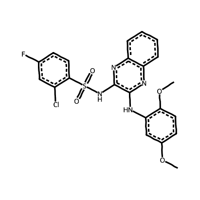 COc1ccc(OC)c(Nc2nc3ccccc3nc2NS(=O)(=O)c2ccc(F)cc2Cl)c1